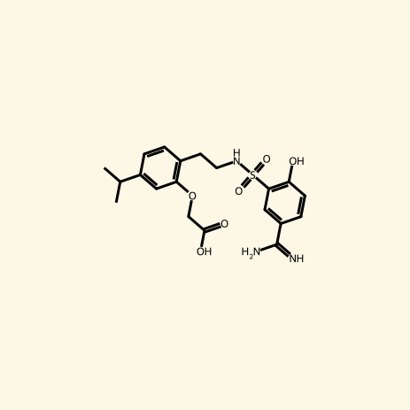 CC(C)c1ccc(CCNS(=O)(=O)c2cc(C(=N)N)ccc2O)c(OCC(=O)O)c1